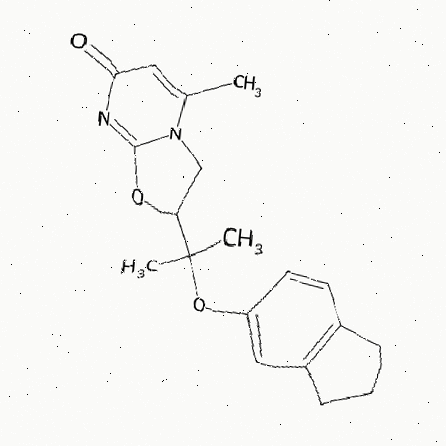 Cc1cc(=O)nc2n1CC(C(C)(C)Oc1ccc3c(c1)CCC3)O2